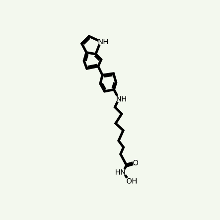 O=C(CCCCCCCNc1ccc(-c2ccc3cc[nH]c3c2)cc1)NO